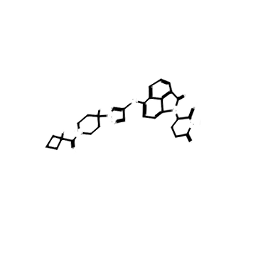 CC1(C(=O)N2CCC(C)(n3cc(Nc4ccc5c6c(cccc46)C(=O)N5C4CCC(=O)NC4=O)cn3)CC2)CCC1